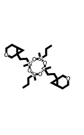 CCC[Si]1(C)O[Si](C)(CCC23COCCC2C3)O[Si](C)(CCC)O[Si](C)(CCC23COCCC2C3)O1